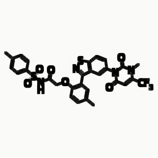 Cc1ccc(S(=O)(=O)NC(=O)COc2ccc(C)cc2-c2nsc3ccc(-n4c(=O)cc(C(F)(F)F)n(C)c4=O)cc23)cc1